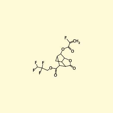 C=C(F)C(=O)OC1C2CC3C1OC(=O)C3C2C(=O)OCC(F)(F)C(F)F